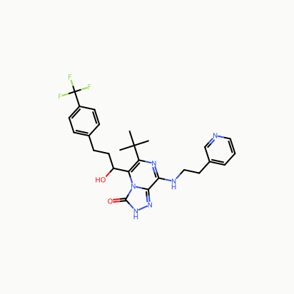 CC(C)(C)c1nc(NCCc2cccnc2)c2n[nH]c(=O)n2c1C(O)CCc1ccc(C(F)(F)F)cc1